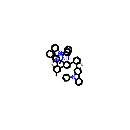 CC1C=C(C2C=CC(C3CC=CC4=C3C3CC5C(C=C3S4)C3CC=CC=C3N5C3C=CC=CC3)=CC2C2(C)NC(C3=CCCC=C3)=NC(C3CCCCC3)N2)C2=C(C1)SC1=CC3=C(CC12)N(C1C=CC=CC1)C1=CC=CCC13